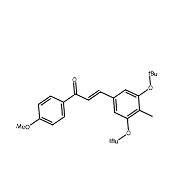 COc1ccc(C(=O)C=Cc2cc(OC(C)(C)C)c(C)c(OC(C)(C)C)c2)cc1